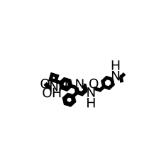 CC(C)NC1CCC(CC(=O)Nc2cnc(-c3ccc(C4(NC(=O)O)CCC4)cc3)c(-c3ccccc3)c2)CC1